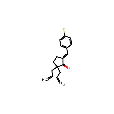 C=CCC1(CC=C)CC/C(=C\c2ccc(F)cc2)C1=O